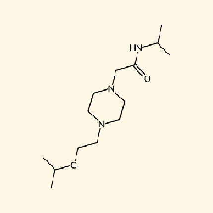 CC(C)NC(=O)CN1CCN(CCOC(C)C)CC1